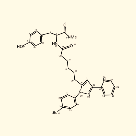 CNC(=O)C(Cc1ccc(O)cc1)NC(=O)CCCCCc1cc(-c2ccccn2)nn1-c1ccc(C(C)(C)C)cc1